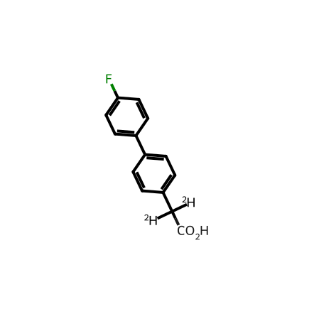 [2H]C([2H])(C(=O)O)c1ccc(-c2ccc(F)cc2)cc1